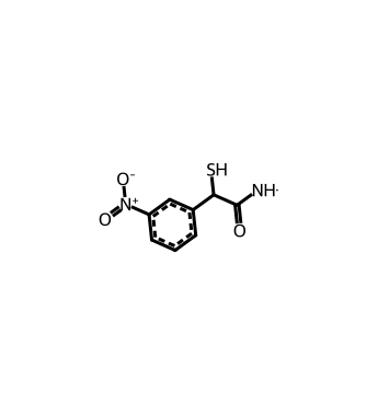 [NH]C(=O)C(S)c1cccc([N+](=O)[O-])c1